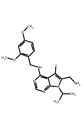 COc1ccc(CNc2ncnc3c2c(I)c(CN)n3C(C)C)c(OC)c1